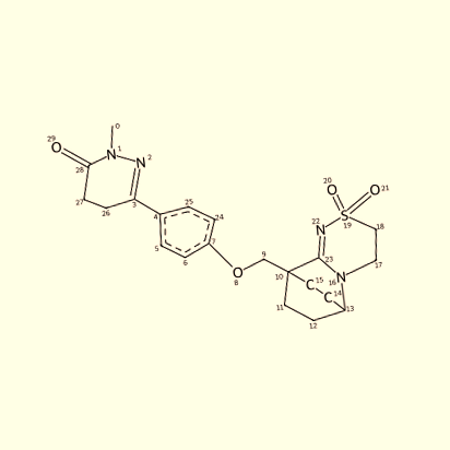 CN1N=C(c2ccc(OCC34CCC(CC3)N3CCS(=O)(=O)N=C34)cc2)CCC1=O